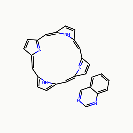 C1=Cc2cc3ccc(cc4nc(cc5ccc(cc1n2)[nH]5)C=C4)[nH]3.c1ccc2ncncc2c1